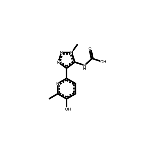 Cc1nc(-c2nnn(C)c2NC(=O)O)ccc1O